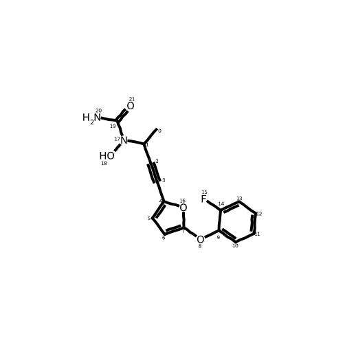 CC(C#Cc1ccc(Oc2ccccc2F)o1)N(O)C(N)=O